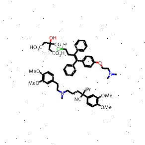 CN(C)CCOc1ccc(/C(=C(/CCCl)c2ccccc2)c2ccccc2)cc1.COc1ccc(CCN(C)CCCC(C#N)(c2ccc(OC)c(OC)c2)C(C)C)cc1OC.O=C(O)CC(O)(CC(=O)O)C(=O)O